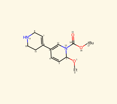 CCOC1C=CC(C2=CCNCC2)=CN1C(=O)OC(C)(C)C